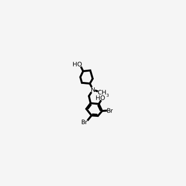 CN(Cc1cc(Br)cc(Br)c1O)C1CCC(O)CC1